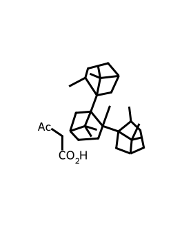 CC(=O)CC(=O)O.CC1CCC2CC1(C1(C)CCC3CC1(C14CC(CCC1C)C4(C)C)C3(C)C)C2(C)C